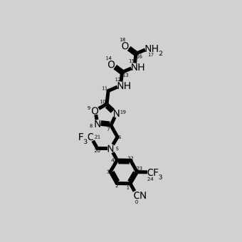 N#Cc1ccc(N(Cc2noc(CNC(=O)NC(N)=O)n2)CC(F)(F)F)cc1C(F)(F)F